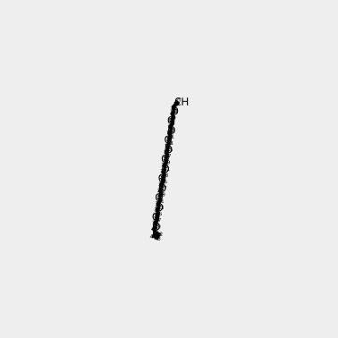 C#CCOCCOCCOCCOCCOCCOCCOCCOCCOCCOCCOCCOCCOCC1CCC1